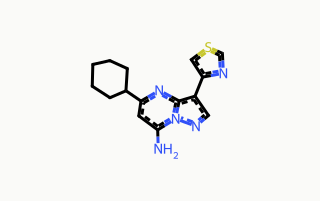 Nc1cc(C2CCCCC2)nc2c(-c3cscn3)cnn12